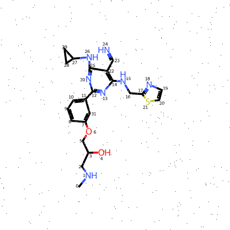 CNCC(O)COc1cccc(-c2nc(NCc3nccs3)c(C=N)c(NC3CC3)n2)c1